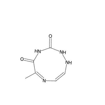 Cc1ncc[nH][nH]c(=O)[nH]c1=O